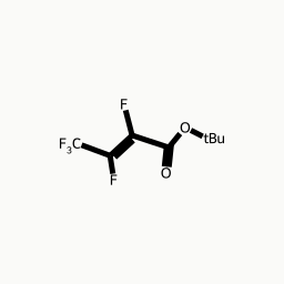 CC(C)(C)OC(=O)/C(F)=C(\F)C(F)(F)F